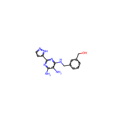 Nc1nc(-c2ccn[nH]2)nc(NCc2cccc(CO)c2)c1N